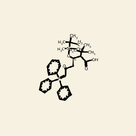 CC(C)(C)C(C(=O)O)[C@@H](CC(=O)C=P(c1ccccc1)(c1ccccc1)c1ccccc1)O[Si](C)(C)C(C)(C)C